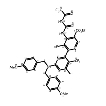 CCOC(=O)c1cnc(-c2nc(N(Cc3ccc(OC)cc3)Cc3ccc(OC)cc3)cc(C)c2C(F)(F)F)c(F)c1NC(=O)NC(=O)C(Cl)(Cl)Cl